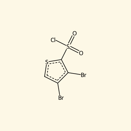 O=S(=O)(Cl)c1scc(Br)c1Br